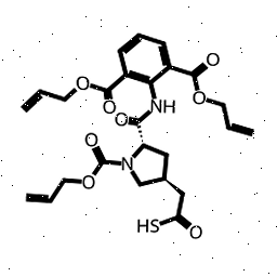 C=CCOC(=O)c1cccc(C(=O)OCC=C)c1NC(=O)[C@@H]1C[C@@H](CC(=O)S)CN1C(=O)OCC=C